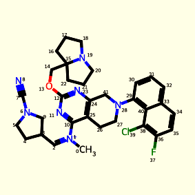 C/[N+](=C/C1CCN(C#N)C1)c1nc(OCC23CCCN2CCC3)nc2c1CCN(c1cccc3ccc(F)c(Cl)c13)C2